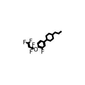 CCCC1CCC(c2ccc(OC(F)(F)C=C(F)F)c(F)c2)CC1